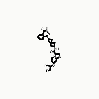 O=C(N[C@H]1CC2(C1)C[C@H](c1n[nH]c(=O)c3ccccc31)C2)c1cnc2cc(OC(CF)CF)ccn12